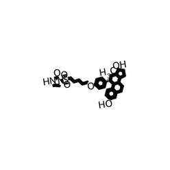 C[C@]12C[C@H](c3ccc(OCCCCCS(=O)(=O)N4CCNC4=O)cc3)C3c4ccc(O)cc4CCC3C1CC[C@@H]2O